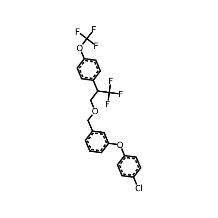 FC(F)(F)Oc1ccc(C(COCc2cccc(Oc3ccc(Cl)cc3)c2)C(F)(F)F)cc1